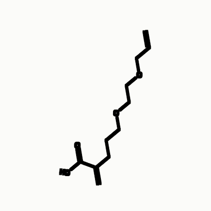 C=CCOCCOCCCC(=C)C(=O)O